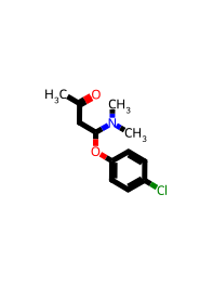 CC(=O)CC(Oc1ccc(Cl)cc1)N(C)C